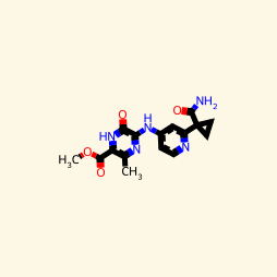 COC(=O)c1[nH]c(=O)c(Nc2ccnc(C3(C(N)=O)CC3)c2)nc1C